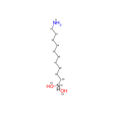 NCCCCCCCCCC[SiH](O)O